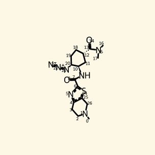 CN1CCc2nc(C(=O)N[C@@H]3C[C@@H](C(=O)N(C)C)CC[C@@H]3N=[N+]=[N-])sc2C1